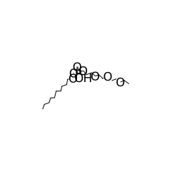 CCCCCCCCCCOOP(=O)(O)OCCOCCOCCOCC